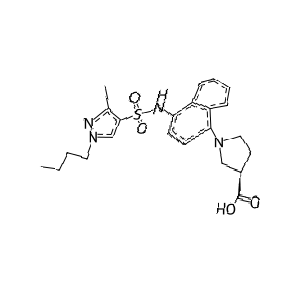 CCCCn1cc(S(=O)(=O)Nc2ccc(N3CC[C@@H](C(=O)O)C3)c3ccccc23)c(C)n1